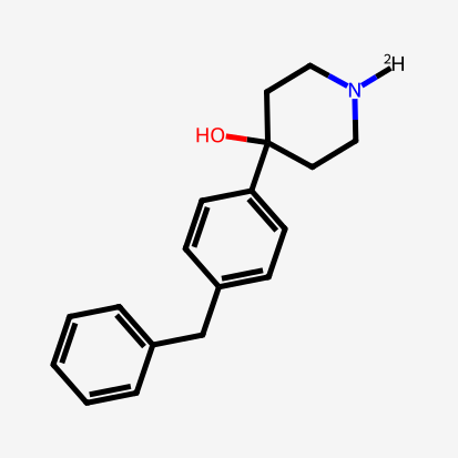 [2H]N1CCC(O)(c2ccc(Cc3ccccc3)cc2)CC1